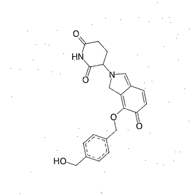 O=C1CCC(N2C=C3C=CC(=O)C(OCc4ccc(CO)cc4)=C3C2)C(=O)N1